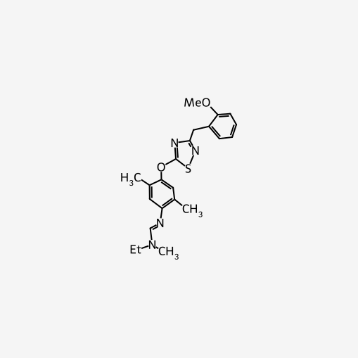 CCN(C)C=Nc1cc(C)c(Oc2nc(Cc3ccccc3OC)ns2)cc1C